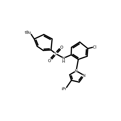 CC(C)c1cnn(-c2cc(Cl)ccc2NS(=O)(=O)c2ccc(C(C)(C)C)cc2)c1